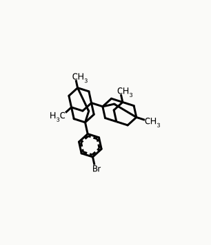 CC12CC3CC(C)(C1)CC(C14CC5(C)CC(C)(CC(c6ccc(Br)cc6)(C5)C1)C4)(C3)C2